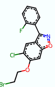 Fc1ccccc1-c1noc2cc(OCCBr)c(Cl)cc12